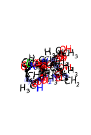 C=C/C=C\[C@H](C)[C@H](OC(N)=O)[C@@H](C)[C@H](O)[C@@H](C)C/C(C)=C\[C@H](C)[C@@H](O)[C@@H](C)/C=C\[C@@H](O)C[C@@H]1OC(=O)[C@H](C)[C@@H](O)[C@H]1C.COc1cc2cc(c1Cl)N(C)C(=O)C[C@H](OC(=O)[C@H](C)N(C)C(C)=O)[C@]1(C)O[C@H]1[C@H](C)[C@@H]1C[C@@](O)(NC(=O)O1)[C@H](OC)/C=C/C=C(\C)C2